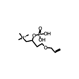 C=CCOCCC(C[N+](C)(C)C)OP(=O)(O)O